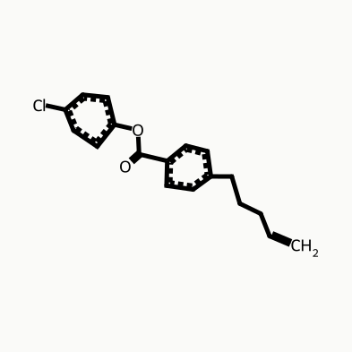 C=CCCCc1ccc(C(=O)Oc2ccc(Cl)cc2)cc1